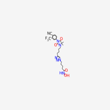 CC1(C)C(=O)N(c2ccc(C#N)c(C(F)(F)F)c2)C(=O)N1CCCCc1cn(CCCCC(=O)NO)nn1